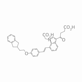 O=C(O)CCC(=O)c1cn(CC(=O)O)c2c(C=Cc3ccc(OCCC4Cc5ccccc5C4)cc3)cccc12